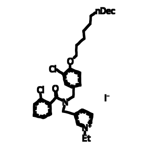 CCCCCCCCCCCCCCCCOc1ccc(CN(Cc2ccc[n+](CC)c2)C(=O)c2ccccc2Cl)cc1Cl.[I-]